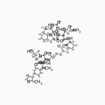 Cc1ncsc1-c1ccc([C@H](C)NC(=O)[C@@H]2C[C@@H](O)CN2C(=O)[C@@H](NC(=O)CCCCCc2cccc(NC(=O)[C@H](CCC(N)=O)NC(=O)[C@@H]3Cc4cccc5c4N3C(=O)[C@@H](NC(=O)OC(C)(C)C)CC5)c2C)C(C)(C)C)cc1